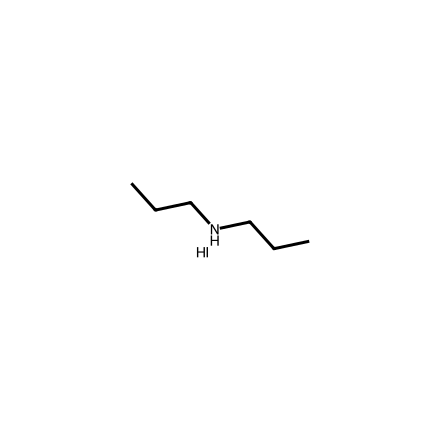 CCCNCCC.I